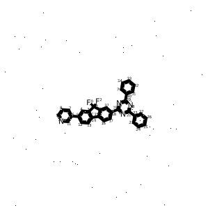 FC1(F)c2cc(-c3cccnc3)ccc2-c2ccc(-c3nc(-c4ccccc4)nc(-c4ccccc4)n3)cc21